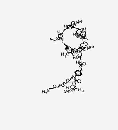 C=C1C[C@@H]2CC[C@@H]3C[C@@H](OC)[C@H](O3)C3C[C@@H](OC)[C@H]4O[C@H](CC[C@@H]4O3)CC(=O)C[C@@H]3[C@@H](OC)[C@@H](C[C@H](O)CNC(=O)OCc4ccc(N(CCOCCOCCOCCN)C(=O)OCC(C)(C)SSC)cc4)O[C@H]3C[C@H]3O[C@@H](CC[C@@H]1O2)C[C@@H](C)C3=C